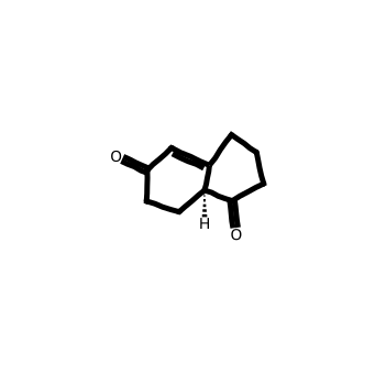 O=C1C=C2CCCC(=O)[C@H]2CC1